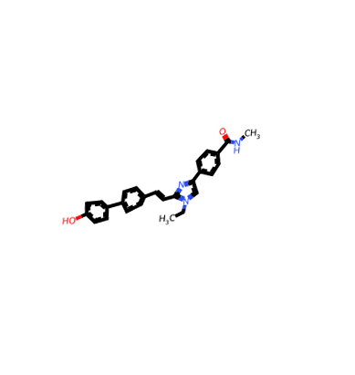 CCn1cc(-c2ccc(C(=O)NC)cc2)nc1C=Cc1ccc(-c2ccc(O)cc2)cc1